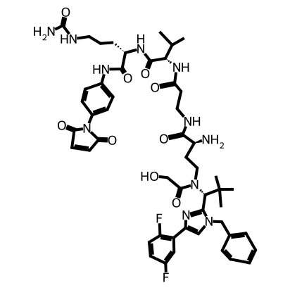 CC(C)[C@H](NC(=O)CCNC(=O)[C@@H](N)CCN(C(=O)CO)[C@@H](c1nc(-c2cc(F)ccc2F)cn1Cc1ccccc1)C(C)(C)C)C(=O)N[C@@H](CCCNC(N)=O)C(=O)Nc1ccc(N2C(=O)C=CC2=O)cc1